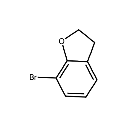 Brc1cccc2c1OCC2